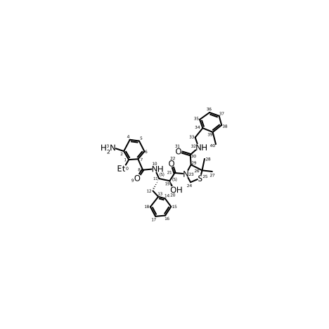 CCc1c(N)cccc1C(=O)N[C@@H](Cc1ccccc1)[C@H](O)C(=O)N1CSC(C)(C)C1C(=O)NCc1ccccc1C